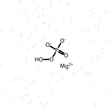 O=P([O-])([O-])OO.[Mg+2]